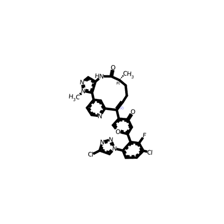 C[C@@H]1CC/C=C(/c2coc(-c3c(-n4cc(Cl)nn4)ccc(Cl)c3F)cc2=O)c2cc(ccn2)-c2c(cnn2C)NC1=O